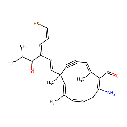 CC1=C\C(C)(/C=C/C(=C\C=C/S)C(=O)C(C)C)C#C/C=C(C)/C(C=O)=C(/N)C/C=C\1